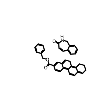 O=C(OCc1ccccc1)c1ccc2c(c1)=CCc1c3c(ccc1=2)=CCCC3.O=C1C=Cc2ccccc2CN1